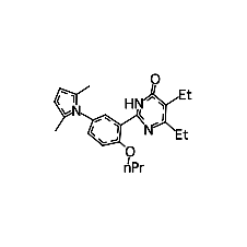 CCCOc1ccc(-n2c(C)ccc2C)cc1-c1nc(CC)c(CC)c(=O)[nH]1